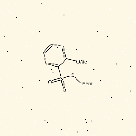 CCCCCOS(=O)(=O)c1ccccc1OC